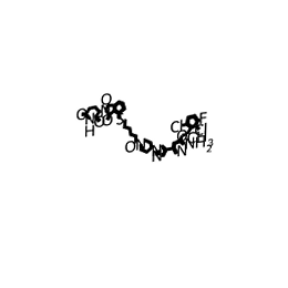 CC(Oc1cc(-c2cnn(C3CCN(C(=O)CCCCCSc4cccc5c4C(=O)N(C4CCC(=O)NC4=O)C5=O)CC3)c2)cnc1N)c1c(Cl)ccc(F)c1Cl